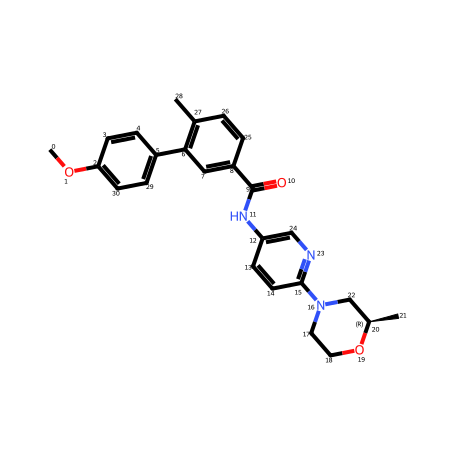 COc1ccc(-c2cc(C(=O)Nc3ccc(N4CCO[C@H](C)C4)nc3)ccc2C)cc1